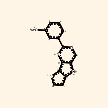 COc1cccc(-c2ncc3[nH]c4ccsc4c3n2)c1